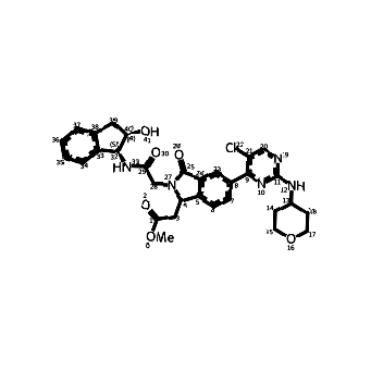 COC(=O)CC1c2ccc(-c3nc(NC4CCOCC4)ncc3Cl)cc2C(=O)N1CC(=O)N[C@H]1c2ccccc2C[C@H]1O